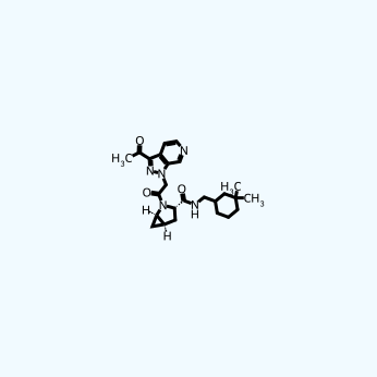 CC(=O)c1nn(CC(=O)N2[C@@H]3C[C@@H]3C[C@H]2C(=O)NCC2CCCC(C)(C)C2)c2cnccc12